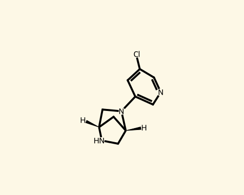 Clc1cncc(N2C[C@@H]3C[C@H]2CN3)c1